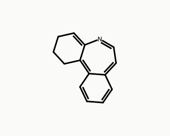 C1=NC2=CCCCC2=c2ccccc2=C1